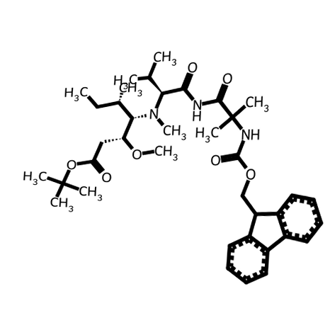 CC[C@H](C)[C@@H]([C@@H](CC(=O)OC(C)(C)C)OC)N(C)[C@H](C(=O)NC(=O)C(C)(C)NC(=O)OCC1c2ccccc2-c2ccccc21)C(C)C